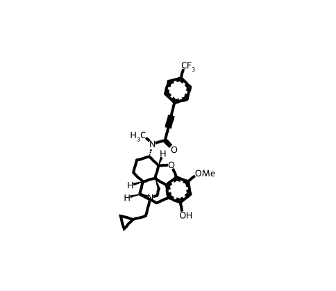 COc1cc(O)c2c3c1O[C@H]1[C@@H](N(C)C(=O)C#Cc4ccc(C(F)(F)F)cc4)CC[C@H]4[C@@H](C2)N(CC2CC2)CC[C@@]341